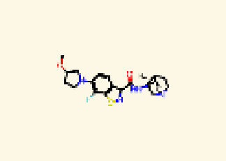 COC1CCN(c2ccc3c(C(=O)N[C@@H]4CN5CCC4CC5)nsc3c2F)C1